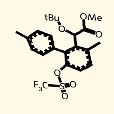 COC(=O)C(OC(C)(C)C)c1c(C)ccc(OS(=O)(=O)C(F)(F)F)c1-c1ccc(C)cc1